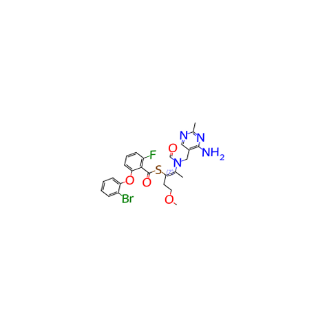 COCC/C(SC(=O)c1c(F)cccc1Oc1ccccc1Br)=C(\C)N(C=O)Cc1cnc(C)nc1N